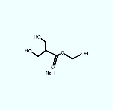 O=C(OCO)C(CO)CO.[NaH]